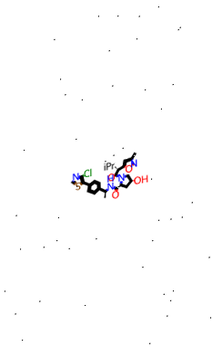 Cc1cc([C@H](C(=O)N2C[C@H](O)C[C@H]2C(=O)N[C@@H](C)c2ccc(-c3scnc3Cl)cc2)C(C)C)on1